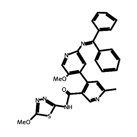 COc1nnc(NC(=O)c2cnc(C)cc2-c2cc(N=C(c3ccccc3)c3ccccc3)ncc2OC)s1